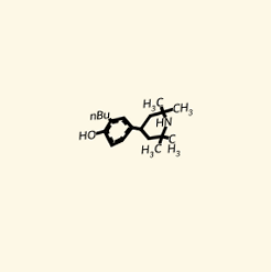 CCCCc1cc(C2CC(C)(C)NC(C)(C)C2)ccc1O